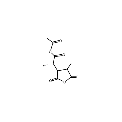 CC(=O)OC(=O)[C@@H](C)C1C(=O)OC(=O)C1C